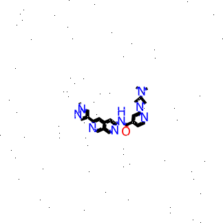 CN(C)C1CN(c2cc(C(=O)Nc3cc4cc(-c5cnn(C)c5)ncc4cn3)ccn2)C1